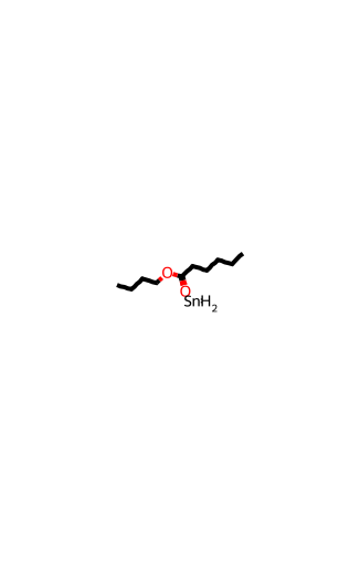 CCCCCC(=O)OCCCC.[SnH2]